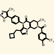 Cc1nn[nH]c1-c1ccc(-n2c(=O)c3c(n4ncc(CC5CCC5)c24)CN(C(=O)c2ccc(Br)c(C(F)(F)F)c2)[C@H](C)C3)cc1